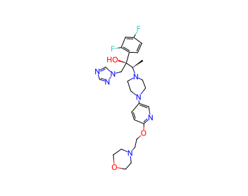 C[C@@H](N1CCN(c2ccc(OCCN3CCOCC3)nc2)CC1)[C@](O)(Cn1cncn1)c1ccc(F)cc1F